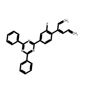 C=C/C=C(\C=C)c1ccc(-c2nc(-c3ccccc3)nc(-c3ccccc3)n2)cc1F